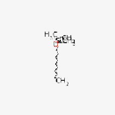 C=CCCCCCCCCCO[Si](CC)(CC)CC